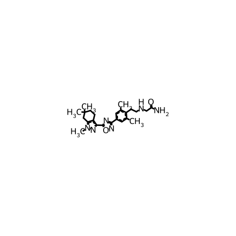 Cc1cc(-c2noc(-c3nn(C)c4c3CCC(C)(C)C4)n2)cc(C)c1CCNCC(N)=O